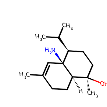 CC1=C[C@]2(N)[C@@H](C(C)C)CC[C@@](C)(O)[C@H]2CC1